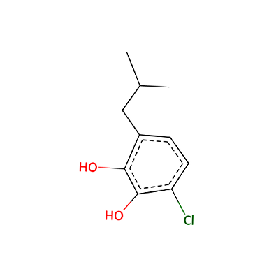 CC(C)Cc1ccc(Cl)c(O)c1O